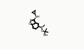 CC(C)(C)C(C)(C)OB(I)c1ccc2onc(NC3CC3)c2c1